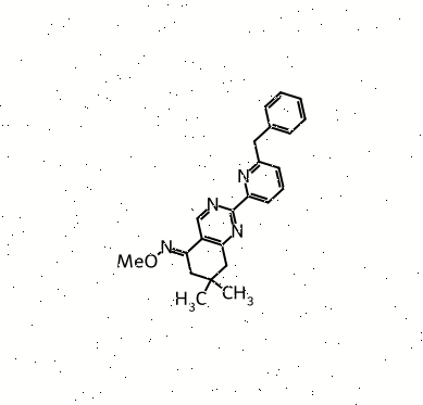 CO/N=C1\CC(C)(C)Cc2nc(-c3cccc(Cc4ccccc4)n3)ncc21